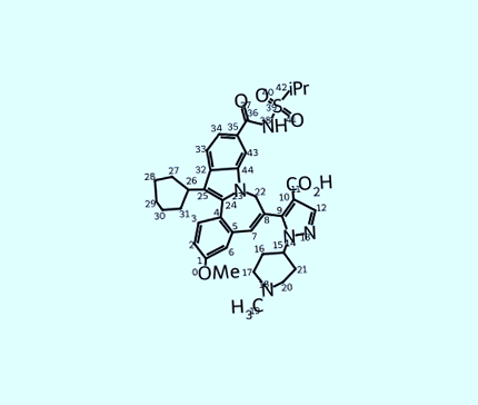 COc1ccc2c(c1)C=C(c1c(C(=O)O)cnn1C1CCN(C)CC1)Cn1c-2c(C2CCCCC2)c2ccc(C(=O)NS(=O)(=O)C(C)C)cc21